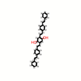 Oc1cc(/C=C/c2ccc(/C=C/c3ccccc3)cc2)c(O)cc1/C=C/c1ccc(/C=C/c2ccccc2)cc1